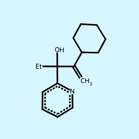 C=C(C1CCCCC1)C(O)(CC)c1ccccn1